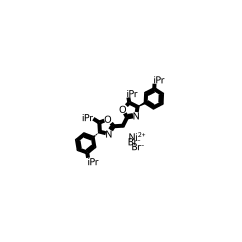 CC(C)c1cccc([C@H]2N=C(CC3=N[C@H](c4cccc(C(C)C)c4)C(C(C)C)O3)OC2C(C)C)c1.[Br-].[Br-].[Ni+2]